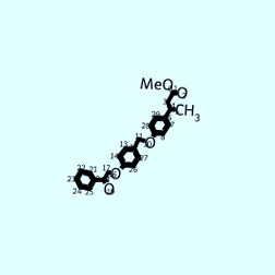 COC(=O)CC(C)c1ccc(OCc2ccc(OCC(=O)c3ccccc3)cc2)cc1